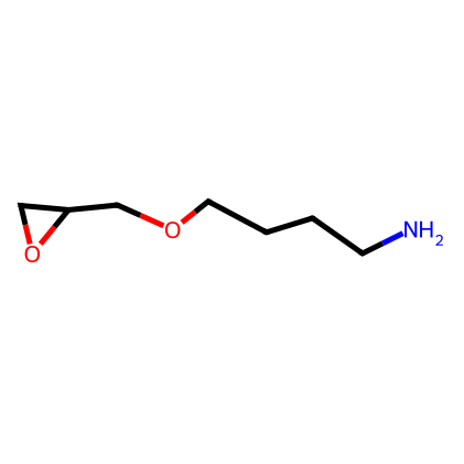 NCCCCOCC1CO1